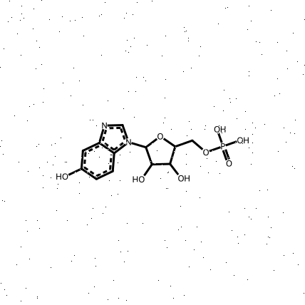 O=P(O)(O)OCC1OC(n2cnc3cc(O)ccc32)C(O)C1O